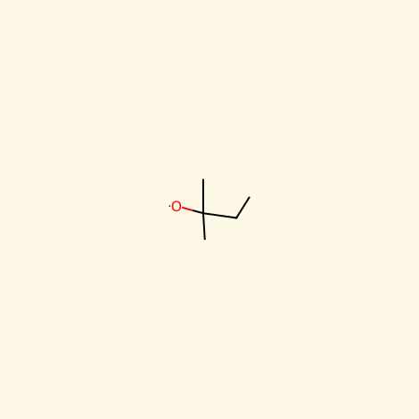 CCC(C)(C)[O]